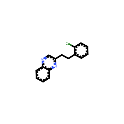 Clc1ccccc1CCc1cnc2ccccc2n1